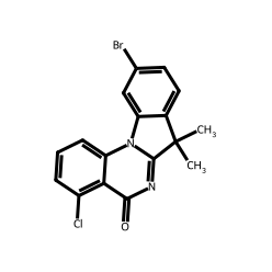 CC1(C)c2ccc(Br)cc2-n2c1nc(=O)c1c(Cl)cccc12